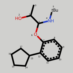 CC(O)C(NC(C)(C)C)Oc1ccccc1C1CCCC1